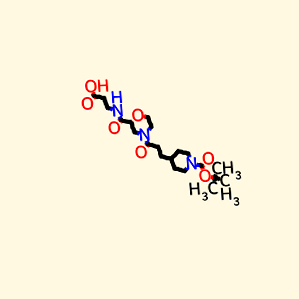 CC(C)(C)OC(=O)N1CCC(CCC(=O)N2CCOC(C(=O)NCCC(=O)O)C2)CC1